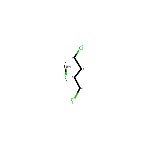 ClCCCCCl.[Cl][Ge]